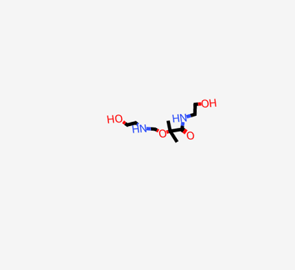 CC(C)(OCNCCO)C(=O)NCCO